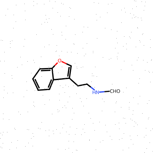 O=CNCCc1coc2ccccc12